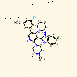 Cc1cc(F)cc(-c2cnc(N3CCN(C)CC3)c(-c3nc4ccc(Cl)cc4[nH]3)c2N2CCCCC2)c1